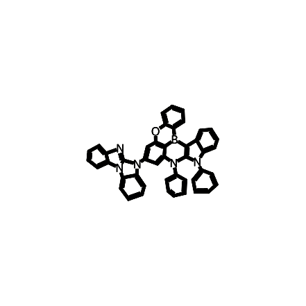 c1ccc(N2c3cc(-n4c5ccccc5n5c6ccccc6nc45)cc4c3B(c3ccccc3O4)c3c2n(-c2ccccc2)c2ccccc32)cc1